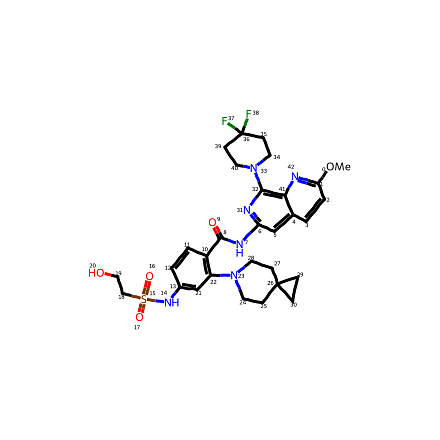 COc1ccc2cc(NC(=O)c3ccc(NS(=O)(=O)CCO)cc3N3CCC4(CC3)CC4)nc(N3CCC(F)(F)CC3)c2n1